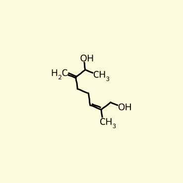 C=C(CCC=C(C)CO)C(C)O